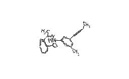 CC#Cc1cc(C)nc(N/N=C(/C)c2ccccc2Cl)n1